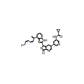 C=C(/C=C\C=C/CF)c1cccc2[nH]c(-c3n[nH]c4ncc(-c5cncc(NC(=O)C6CC6)c5)cc34)nc12